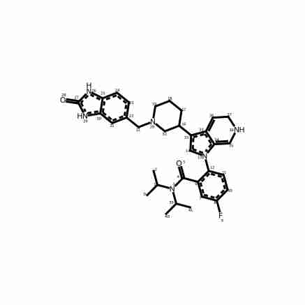 CC(C)N(C(=O)c1cc(F)ccc1-n1cc(C2CCCN(Cc3ccc4[nH]c(=O)[nH]c4c3)C2)c2c1=CNCC=2)C(C)C